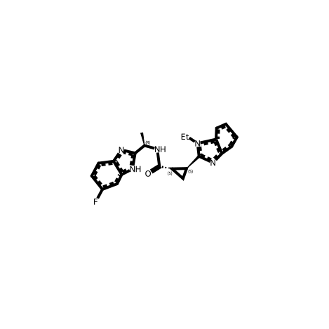 CCn1c([C@H]2C[C@@H]2C(=O)N[C@H](C)c2nc3ccc(F)cc3[nH]2)nc2ccccc21